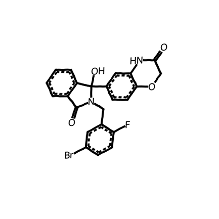 O=C1COc2ccc(C3(O)c4ccccc4C(=O)N3Cc3cc(Br)ccc3F)cc2N1